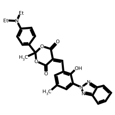 CCN(CC)c1ccc(C2(C)OC(=O)C(=Cc3cc(C)cc(-n4nc5ccccc5n4)c3O)C(=O)O2)cc1